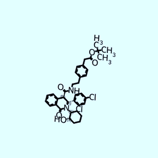 CC(C)(C)OC(=O)Cc1ccc(CCNC(=O)[C@@H]2c3ccccc3C(=O)N([C@H]3CCCC[C@@H]3O)[C@H]2c2ccc(Cl)cc2Cl)cc1